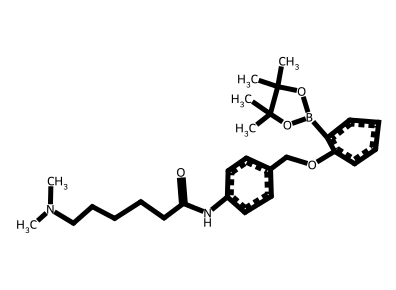 CN(C)CCCCCC(=O)Nc1ccc(COc2ccccc2B2OC(C)(C)C(C)(C)O2)cc1